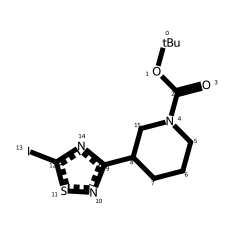 CC(C)(C)OC(=O)N1CCCC(c2nsc(I)n2)C1